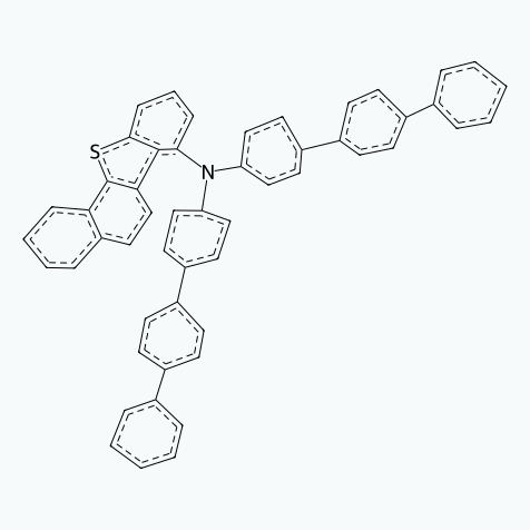 c1ccc(-c2ccc(-c3ccc(N(c4ccc(-c5ccc(-c6ccccc6)cc5)cc4)c4cccc5sc6c7ccccc7ccc6c45)cc3)cc2)cc1